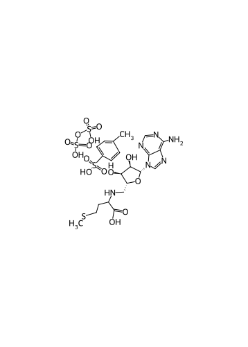 CSCCC(NC[C@H]1O[C@@H](n2cnc3c(N)ncnc32)[C@H](O)[C@@H]1O)C(=O)O.Cc1ccc(S(=O)(=O)O)cc1.O=S(=O)(O)OS(=O)(=O)O